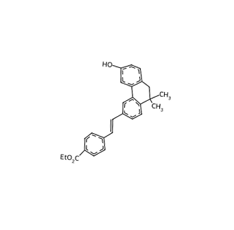 CCOC(=O)c1ccc(/C=C/c2ccc3c(c2)-c2cc(O)ccc2CC3(C)C)cc1